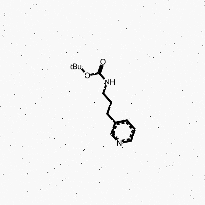 CC(C)(C)OC(=O)NCCCc1cccnc1